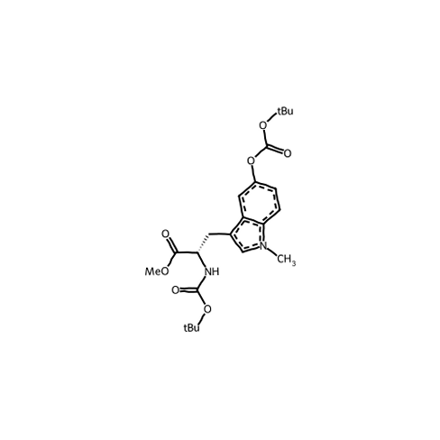 COC(=O)[C@H](Cc1cn(C)c2ccc(OC(=O)OC(C)(C)C)cc12)NC(=O)OC(C)(C)C